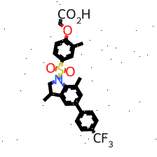 Cc1cc(S(=O)(=O)N2CC(C)c3cc(-c4ccc(C(F)(F)F)cc4)cc(C)c32)ccc1OCC(=O)O